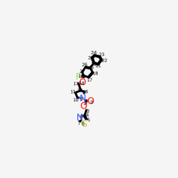 O=C(OCc1cscn1)N1CCC(COC2(F)C=CC(c3ccccc3)=CC2)C1